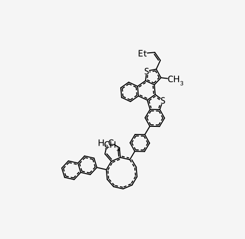 C/C=c1/c(-c2ccc(-c3ccc4sc5c6c(C)c(/C=C\CC)sc6c6ccccc6c5c4c3)cc2)ccccccc(-c2ccc3ccccc3c2)/c1=C/C